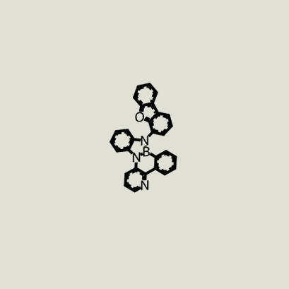 c1ccc2c(c1)B1N(c3ccccc3N1c1cccc3c1oc1ccccc13)c1cccnc1-2